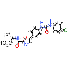 CC(C)[C@H](NC(=O)c1ncc(-c2ccc(NC(=O)Nc3ccc(Cl)cc3)cc2)o1)C(=O)O